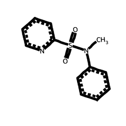 CN(c1cc[c]cc1)S(=O)(=O)c1ccccn1